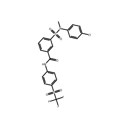 CN(c1ccc(Cl)cc1)S(=O)(=O)c1cccc(C(=O)Nc2ccc(S(=O)(=O)C(F)(F)F)cc2)c1